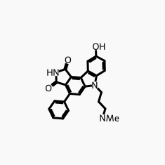 CNCCCn1c2ccc(O)cc2c2c3c(c(-c4ccccc4)cc21)C(=O)NC3=O